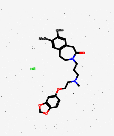 COc1cc2c(cc1OC)CC(=O)N(CCCN(C)CCOc1ccc3c(c1)OCO3)CC2.Cl